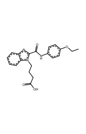 CCOc1ccc(NC(=O)c2nc3ccccc3n2CCCC(=O)O)cc1